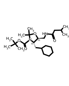 CC(C)CC(=O)NC[C@@H]1OC(C)(C)N(C(=O)OC(C)(C)C)[C@H]1CC1CCCCC1